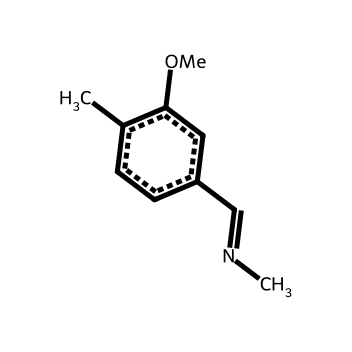 CN=Cc1ccc(C)c(OC)c1